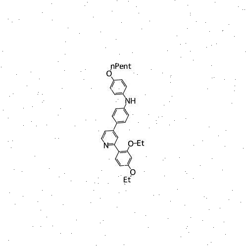 CCCCCOc1ccc(Nc2ccc(-c3ccnc(-c4ccc(OCC)cc4OCC)c3)cc2)cc1